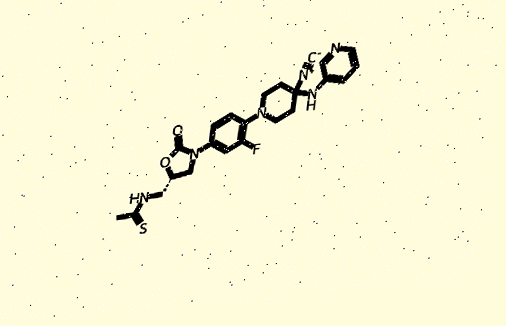 [C-]#[N+]C1(Nc2cccnc2)CCN(c2ccc(N3C[C@H](CNC(C)=S)OC3=O)cc2F)CC1